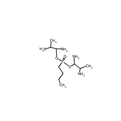 CCCCP(=O)(OC(N)C(C)N)OC(N)C(C)N